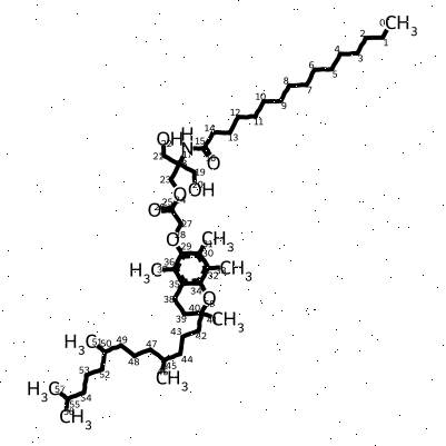 CCCCCCCCCCCCCCCC(=O)NC(CO)(CO)COC(=O)COc1c(C)c(C)c2c(c1C)CCC(C)(CCCC(C)CCCC(C)CCCC(C)C)O2